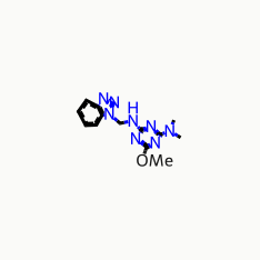 COc1nc(NCn2nnc3ccccc32)nc(N(C)C)n1